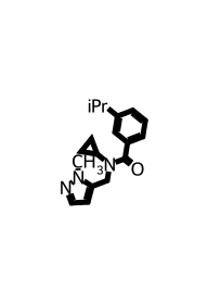 CC(C)c1cccc(C(=O)N(Cc2ccnn2C)C2CC2)c1